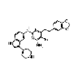 Nc1nc(Nc2ccc3[nH]cc(C4=CCNCC4)c3c2)nc(CCc2ccc3c(c2)OCO3)c1Br